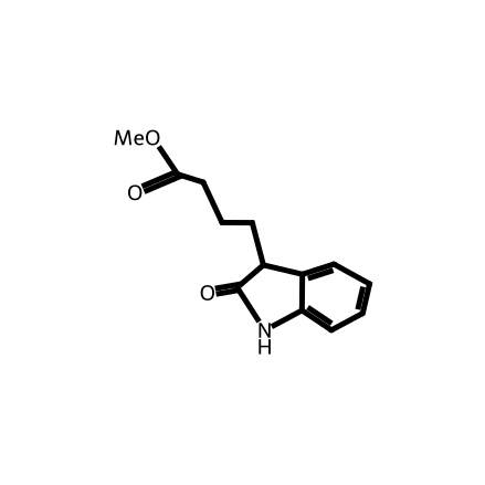 COC(=O)CCCC1C(=O)Nc2ccccc21